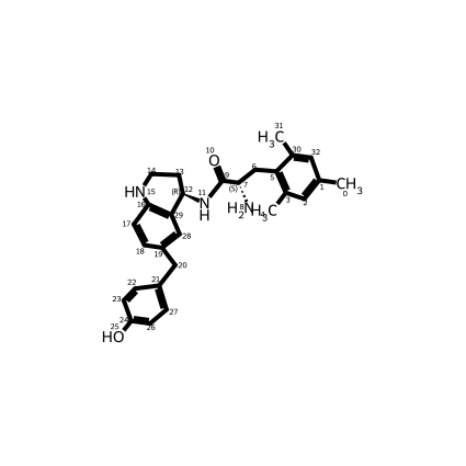 Cc1cc(C)c(C[C@H](N)C(=O)N[C@@H]2CCNc3ccc(Cc4ccc(O)cc4)cc32)c(C)c1